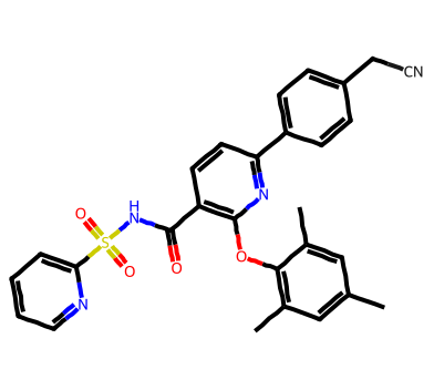 Cc1cc(C)c(Oc2nc(-c3ccc(CC#N)cc3)ccc2C(=O)NS(=O)(=O)c2ccccn2)c(C)c1